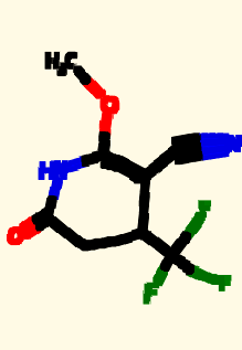 COC1=C(C#N)C(C(F)(F)F)CC(=O)N1